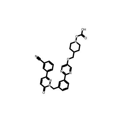 N#Cc1cccc(-c2ccc(=O)n(Cc3cccc(-c4ncc(OCC5CCN(OC(=O)O)CC5)cn4)c3)n2)c1